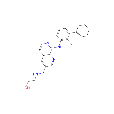 Cc1c(NC2=NC=CC3C=C(CNCCO)C=NC23)cccc1C1=CCCCC1